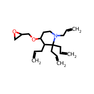 C=CCC1C(OCC2CO2)CCN(CC=C)C1(CC=C)CC=C